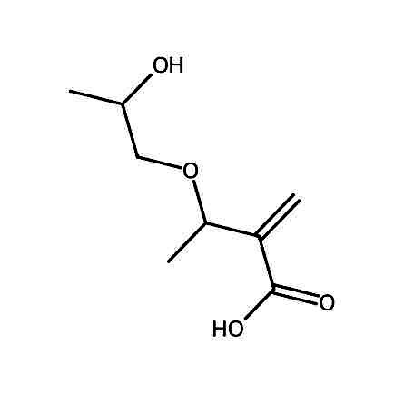 C=C(C(=O)O)C(C)OCC(C)O